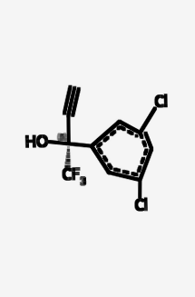 C#C[C@](O)(c1cc(Cl)cc(Cl)c1)C(F)(F)F